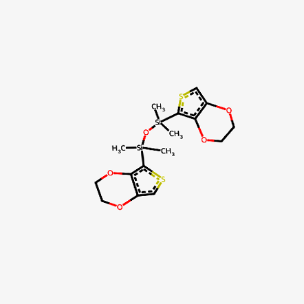 C[Si](C)(O[Si](C)(C)c1scc2c1OCCO2)c1scc2c1OCCO2